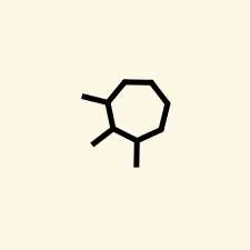 C[C]1C(C)CCCCC1C